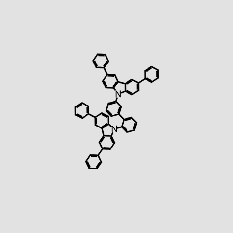 c1ccc(-c2ccc3c(c2)c2cc(-c4ccccc4)ccc2n3-c2cccc(-c3ccccc3-n3c4ccc(-c5ccccc5)cc4c4cc(-c5ccccc5)ccc43)c2)cc1